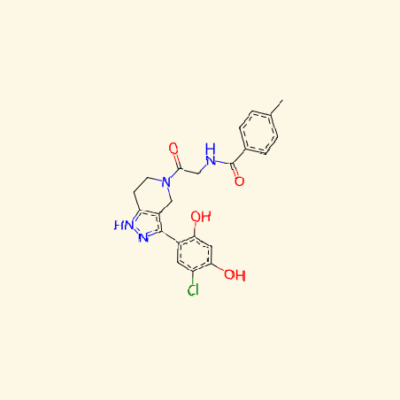 Cc1ccc(C(=O)NCC(=O)N2CCc3[nH]nc(-c4cc(Cl)c(O)cc4O)c3C2)cc1